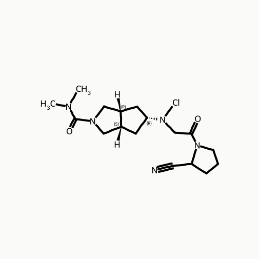 CN(C)C(=O)N1C[C@H]2C[C@@H](N(Cl)CC(=O)N3CCCC3C#N)C[C@H]2C1